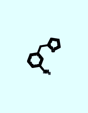 Nc1cccc(Cc2ccco2)c1